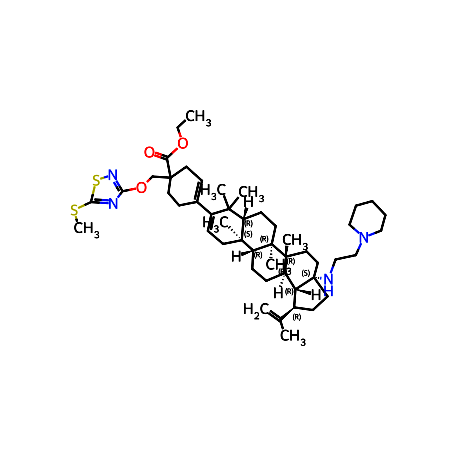 C=C(C)[C@@H]1CC[C@]2(NCCN3CCCCC3)CC[C@]3(C)[C@H](CC[C@@H]4[C@@]5(C)CC=C(C6=CCC(COc7nsc(SC)n7)(C(=O)OCC)CC6)C(C)(C)[C@@H]5CC[C@]43C)[C@@H]12